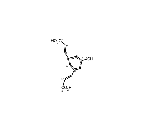 O=C(O)C=Cc1cc(O)cc(C=CC(=O)O)c1